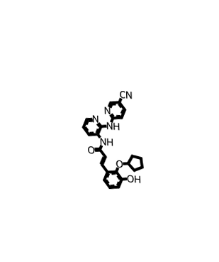 N#Cc1ccc(Nc2ncccc2NC(=O)/C=C/c2cccc(O)c2OC2CCCC2)nc1